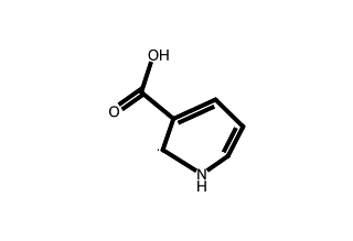 O=C(O)C1=CC=CN[CH]1